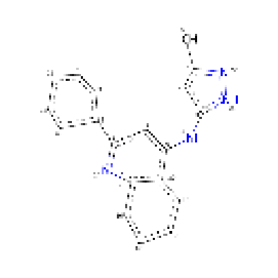 Cc1cc(Nc2cc(-c3ccccc3)nc3ccccc23)[nH]n1